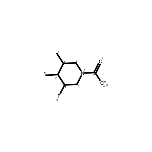 CC1CN(C(=O)C(F)(F)F)CC(F)C1C